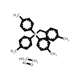 CC(=O)O.CC(=O)[O-].Cc1ccc(C[P+](c2ccc(C)cc2)(c2ccc(C)cc2)c2ccc(C)cc2)cc1